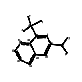 CC(C)c1cc(C(C)(C)C)c2ncccc2c1